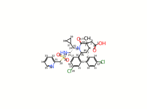 C[C@]1(CC(=O)O)C[C@H](c2cccc(Cl)c2)[C@@H](c2ccc(Cl)cc2)N([C@H](CNS(=O)(=O)Cc2ccccn2)C2CC2)C1=O